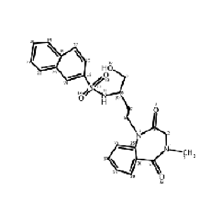 CN1CC(=O)N(CC[C@H](CO)NS(=O)(=O)c2ccc3ccccc3c2)c2ccccc2C1=O